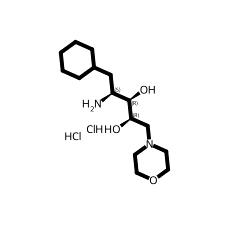 Cl.Cl.N[C@@H](CC1CCCCC1)[C@@H](O)[C@H](O)CN1CCOCC1